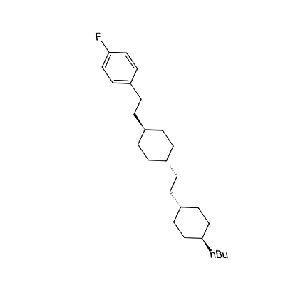 CCCC[C@H]1CC[C@H](CC[C@H]2CC[C@H](CCc3ccc(F)cc3)CC2)CC1